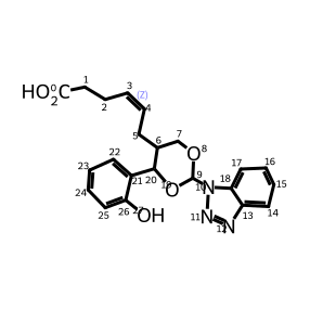 O=C(O)CC/C=C\CC1COC(n2nnc3ccccc32)OC1c1ccccc1O